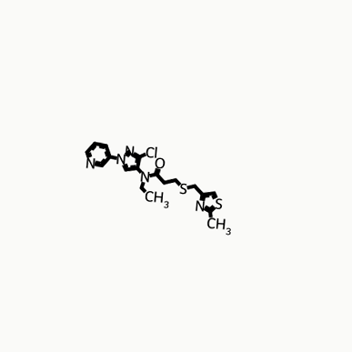 CCN(C(=O)CCSCc1csc(C)n1)c1cn(-c2cccnc2)nc1Cl